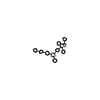 c1ccc(-c2ccc(-c3ccc(-c4nc(-c5ccccc5)nc(-c5ccc(-c6c(-c7ccccc7)n7ncc(-c8ccccc8)c7c7ccccc67)cc5)n4)cc3)cc2)cc1